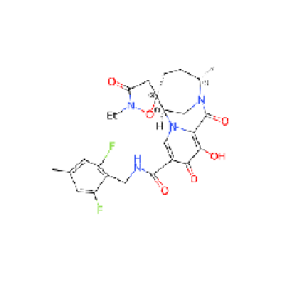 CCN1O[C@@]2(CC[C@H](C)N3C[C@H]2n2cc(C(=O)NCc4c(F)cc(C)cc4F)c(=O)c(O)c2C3=O)CC1=O